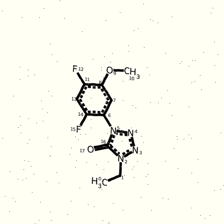 CCn1nnn(-c2cc(OC)c(F)cc2F)c1=O